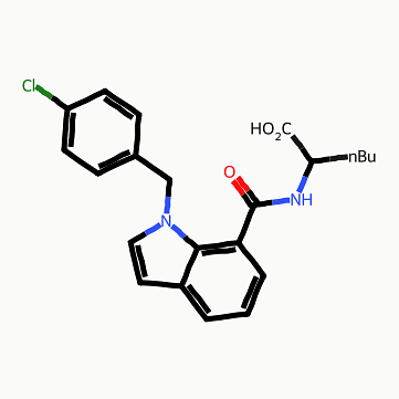 CCCCC(NC(=O)c1cccc2ccn(Cc3ccc(Cl)cc3)c12)C(=O)O